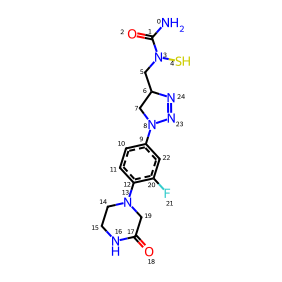 NC(=O)N(S)CC1CN(c2ccc(N3CCNC(=O)C3)c(F)c2)N=N1